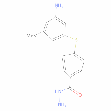 CSc1cc(N)cc(Sc2ccc(C(=O)NN)cc2)c1